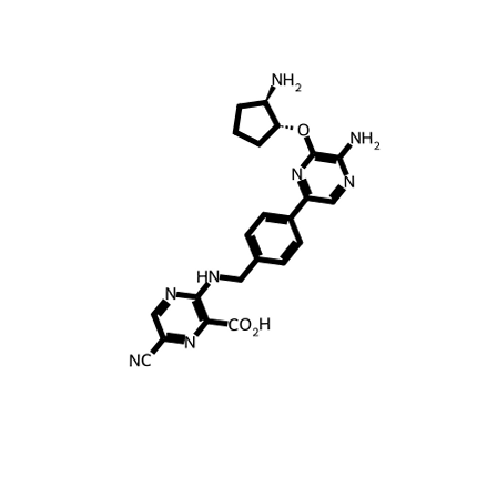 N#Cc1cnc(NCc2ccc(-c3cnc(N)c(O[C@@H]4CCC[C@H]4N)n3)cc2)c(C(=O)O)n1